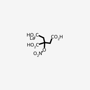 O=C(O)CC(CC(=O)O)(O[N+](=O)[O-])C(=O)O.[La]